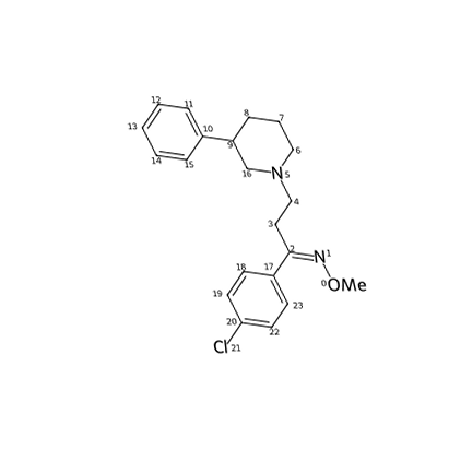 CON=C(CCN1CCCC(c2ccccc2)C1)c1ccc(Cl)cc1